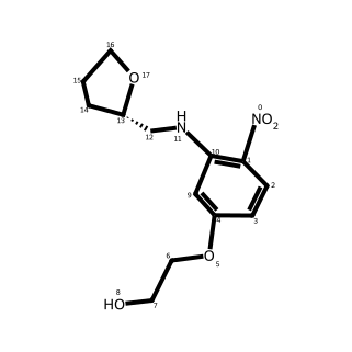 O=[N+]([O-])c1ccc(OCCO)cc1NC[C@@H]1CCCO1